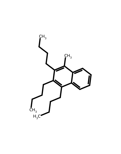 CCCCc1c(CCCC)c(CCCC)c2ccccc2c1C